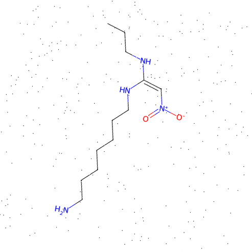 CCCNC(=C[N+](=O)[O-])NCCCCCCCN